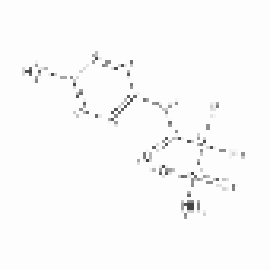 Cc1ccc(OC(=O)C(F)(F)S(N)(=O)=O)cc1